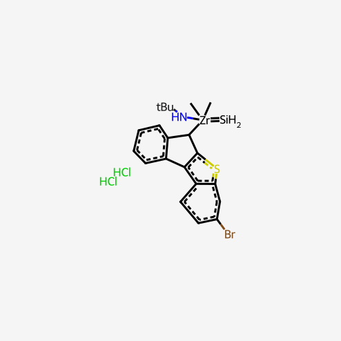 CC(C)(C)[NH][Zr]([CH3])([CH3])(=[SiH2])[CH]1c2ccccc2-c2c1sc1cc(Br)ccc21.Cl.Cl